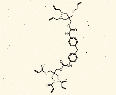 C=CCOCC(COCC=C)(COCC=C)COC(=O)Nc1ccc(Cc2ccc(NC(=O)OCC(COC(=O)C=C)(COC(=O)C=C)COC(=O)C=C)cc2)cc1